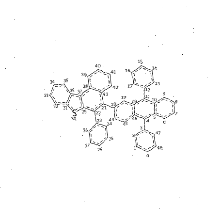 c1ccc(-c2c3ccccc3c(-c3ccccc3)c3cc(-c4c(-c5ccccc5)c5sc6ccccc6c5c5ccccc45)ccc23)cc1